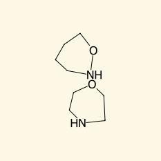 C1CCONC1.C1COCCN1